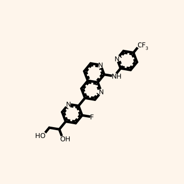 OCC(O)c1cnc(-c2cnc3c(Nc4ccc(C(F)(F)F)cn4)nccc3c2)c(F)c1